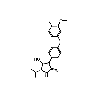 COc1cc(Oc2ccc(N3C(=O)N[C@H](C(C)C)C3O)cc2)ccc1C